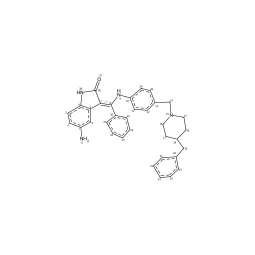 Nc1ccc2c(c1)/C(=C(/Nc1ccc(CN3CCC(Cc4ccccc4)CC3)cc1)c1ccccc1)C(=O)N2